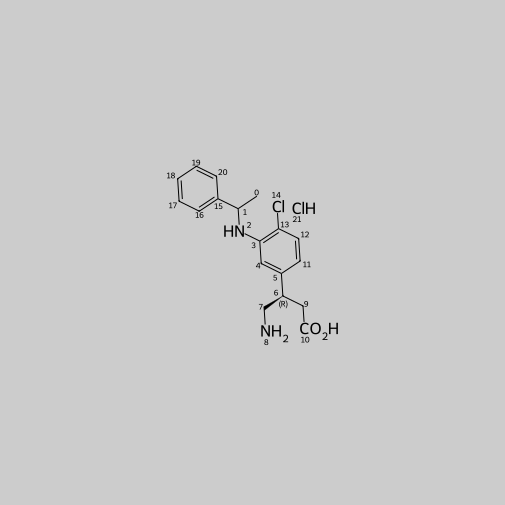 CC(Nc1cc([C@H](CN)CC(=O)O)ccc1Cl)c1ccccc1.Cl